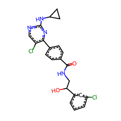 O=C(NCC(O)c1cccc(Cl)c1)c1ccc(-c2nc(NC3CC3)ncc2Cl)cc1